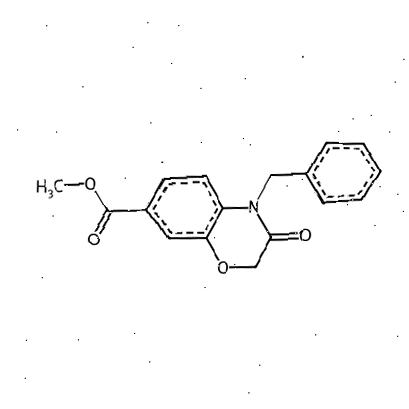 COC(=O)c1ccc2c(c1)OCC(=O)N2Cc1ccccc1